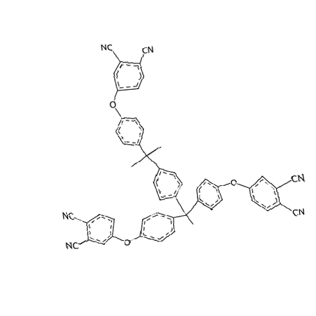 CC(C)(c1ccc(Oc2ccc(C#N)c(C#N)c2)cc1)c1ccc(C(C)(c2ccc(Oc3ccc(C#N)c(C#N)c3)cc2)c2ccc(Oc3ccc(C#N)c(C#N)c3)cc2)cc1